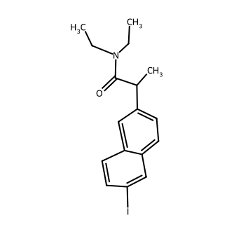 CCN(CC)C(=O)C(C)c1ccc2cc(I)ccc2c1